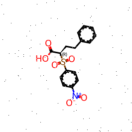 O=C(O)[C@@H](CCc1ccccc1)S(=O)(=O)c1ccc([N+](=O)[O-])cc1